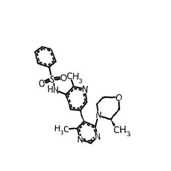 Cc1ncc(-c2c(C)ncnc2N2CCOC[C@H]2C)cc1NS(=O)(=O)c1ccccc1